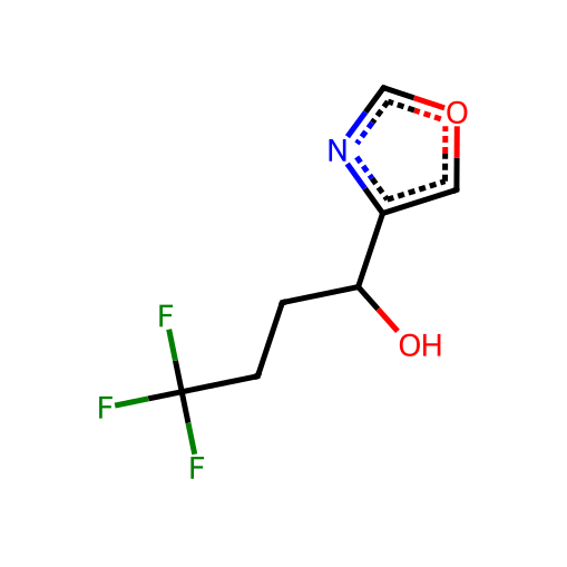 OC(CCC(F)(F)F)c1cocn1